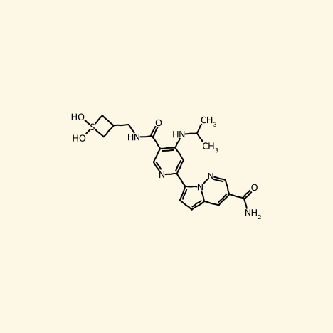 CC(C)Nc1cc(-c2ccc3cc(C(N)=O)cnn23)ncc1C(=O)NCC1CS(O)(O)C1